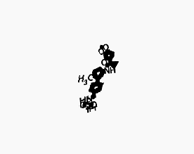 Cc1ccc(NC(=O)C2(c3ccc4c(c3)OCO4)CC2)cc1-c1ccc(CNS(=O)(=O)C(C)C)cc1